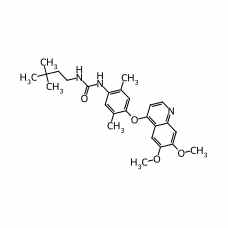 COc1cc2nccc(Oc3cc(C)c(NC(=O)NCCC(C)(C)C)cc3C)c2cc1OC